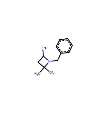 CC1(C(F)(F)F)CC(C#N)N1Cc1ccccc1